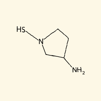 NC1CCN(S)C1